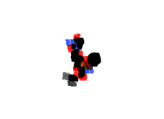 C#C[C@@]1(CO[P@@](=O)(N[C@@H](C)C(=O)OCC(CC)CC)Oc2ccccc2)C=C[C@H](n2cc(C)c(=O)[nH]c2=O)O1